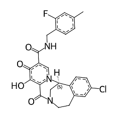 Cc1ccc(CNC(=O)c2cn3c(c(O)c2=O)C(=O)N2CCc4cc(Cl)ccc4[C@H]3C2)c(F)c1